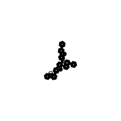 CC1(C)c2cc(-c3ccccc3)ccc2-c2ccc(N(c3ccc4c(c3)C(C)(C)c3cc(-c5cccc6c5oc5ccccc56)ccc3-4)c3ccc(-c4ccccc4)c4ccccc34)cc21